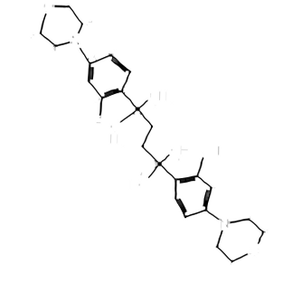 Cc1cc(N2CCOCC2)ccc1C(C)(C)CCC(C)(C)c1ccc(N2CCOCC2)cc1F